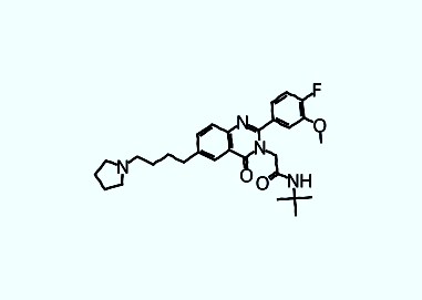 COc1cc(-c2nc3ccc(CCCCN4CCCC4)cc3c(=O)n2CC(=O)NC(C)(C)C)ccc1F